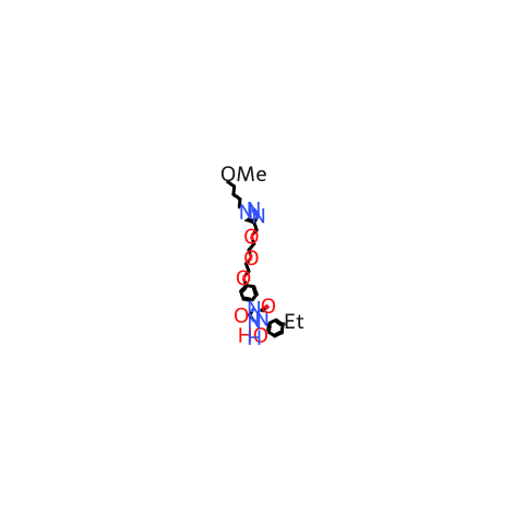 CCc1ccc(O)c(-n2[nH]c(=O)n(-c3ccc(OCCOCCOCc4cn(CCCCCOC)nn4)cc3)c2=O)c1